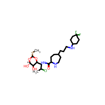 CSC1OC(C(NC(=O)C2CCC(CCCNC3CCC(F)(F)CC3)CCN2)C(C)Cl)C(O)[C@H](O)O1